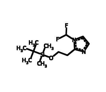 CC(C)(C)[Si](C)(C)OCCc1nccn1C(F)F